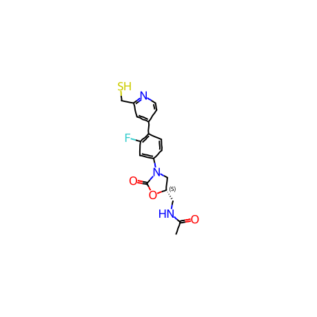 CC(=O)NC[C@H]1CN(c2ccc(-c3ccnc(CS)c3)c(F)c2)C(=O)O1